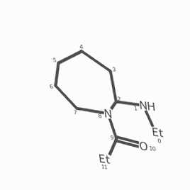 CCNC1CCCCCN1C(=O)CC